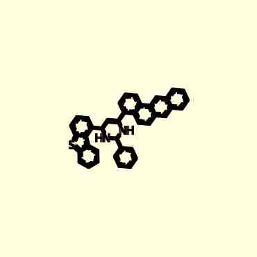 C1=C(c2cccc3c2ccc2cc4ccccc4cc23)NC(c2ccccc2)NC1c1cccc2sc3ccccc3c12